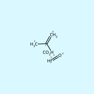 C=C(C)C(=O)O.[O]=[Hf]